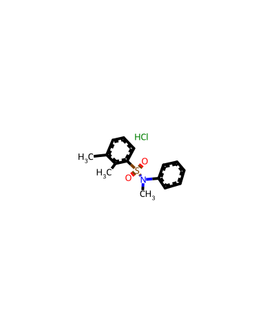 Cc1cccc(S(=O)(=O)N(C)c2ccccc2)c1C.Cl